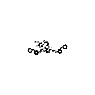 COc1cn(OC(=O)/C=C\C(=O)On2cc(OC)c(=O)nc2NCCOc2cccc(CN3CCCCC3)c2)c(NCCOc2cccc(CN3CCCCC3)c2)nc1=O